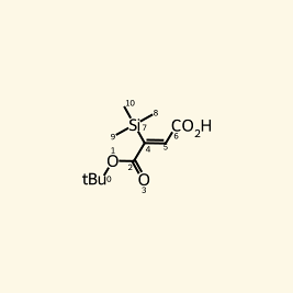 CC(C)(C)OC(=O)C(=CC(=O)O)[Si](C)(C)C